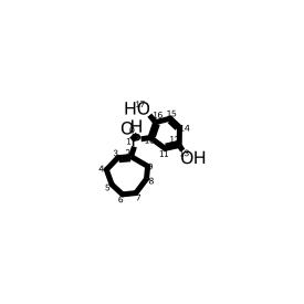 O=[PH](C1=CCCCCCC1)c1cc(O)ccc1O